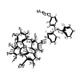 COc1ccc([S+](c2ccccc2)c2ccccc2)cc1.Fc1c(F)c(F)c([B-](c2c(F)c(F)c(F)c(F)c2F)(c2c(F)c(F)c(F)c(F)c2F)c2c(F)c(F)c(F)c(F)c2F)c(F)c1F